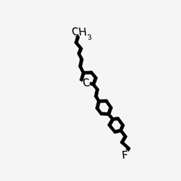 CCCCCCCC1CCC(CCC2CCC(C3CCC(CCCF)CC3)CC2)CC1